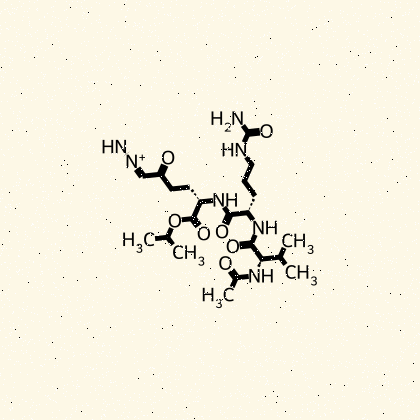 CC(=O)N[C@H](C(=O)N[C@@H](CCCNC(N)=O)C(=O)N[C@@H](CCC(=O)C=[N+]=N)C(=O)OC(C)C)C(C)C